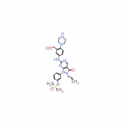 C=CCn1c(=O)c2cnc(Nc3ccc(N4CCNCC4)c(CO)c3)nc2n1-c1cccc(N=S(C)(C)=O)c1